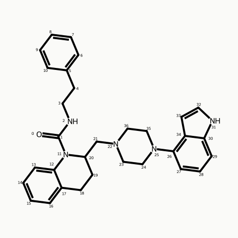 O=C(NCCc1ccccc1)N1c2ccccc2CCC1CN1CCN(c2cccc3[nH]ccc23)CC1